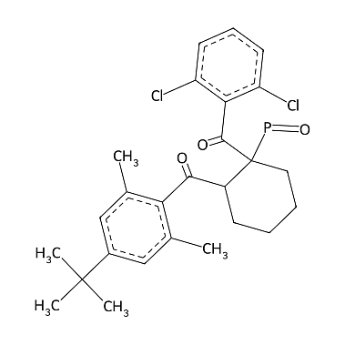 Cc1cc(C(C)(C)C)cc(C)c1C(=O)C1CCCCC1(P=O)C(=O)c1c(Cl)cccc1Cl